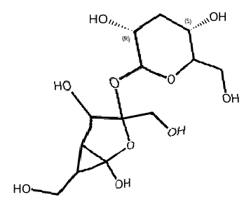 OCC1OC(OC2(CO)OC3(O)C(CO)C3C2O)[C@H](O)C[C@@H]1O